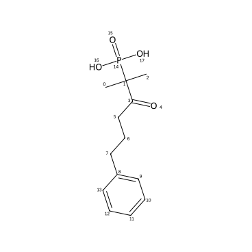 CC(C)(C(=O)CCCc1ccccc1)P(=O)(O)O